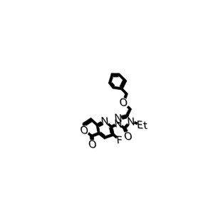 CCn1c(COCc2ccccc2)nn(-c2nc3ccoc(=O)c3cc2F)c1=O